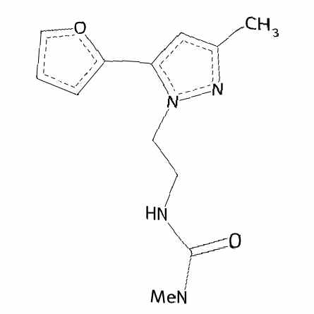 CNC(=O)NCCn1nc(C)cc1-c1ccco1